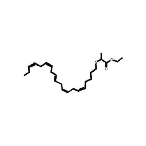 CC/C=C\C/C=C\CC=CC/C=C\C/C=C\CCCCSC(C)C(=O)OCC